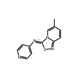 Cc1ccc2ns/c(=N\c3ccncc3)n2c1